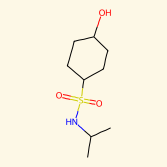 CC(C)NS(=O)(=O)C1CCC(O)CC1